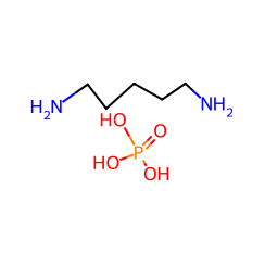 NCCCCCN.O=P(O)(O)O